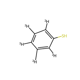 [2H]c1c([2H])c([2H])c(S)c([2H])c1[2H]